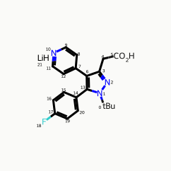 CC(C)(C)n1nc(CC(=O)O)c(-c2ccncc2)c1-c1ccc(F)cc1.[LiH]